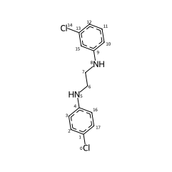 Clc1ccc(NCCNc2cccc(Cl)c2)cc1